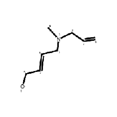 C=CCN(C)CC=CC[O]